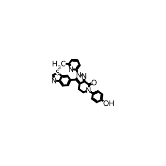 Cc1cccc(-n2nc3c(c2-c2ccc4ncsc4c2)CCN(c2ccc(O)cc2)C3=O)n1